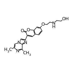 Cc1cn2cc(-c3cc4ccc(OCCNCCO)cc4oc3=O)nc2c(C)n1